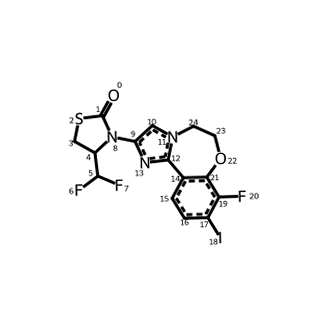 O=C1SCC(C(F)F)N1c1cn2c(n1)-c1ccc(I)c(F)c1OCC2